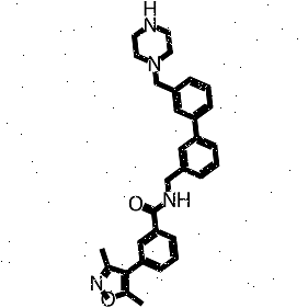 Cc1noc(C)c1-c1cccc(C(=O)NCc2cccc(-c3cccc(CN4CCNCC4)c3)c2)c1